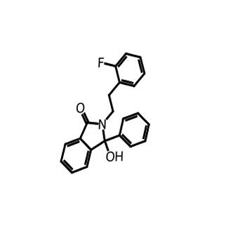 O=C1c2ccccc2C(O)(c2ccccc2)N1CCc1ccccc1F